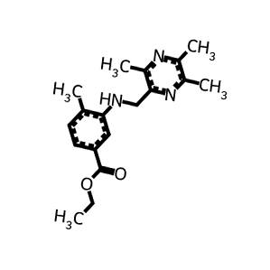 CCOC(=O)c1ccc(C)c(NCc2nc(C)c(C)nc2C)c1